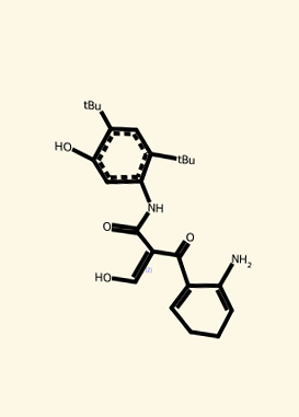 CC(C)(C)c1cc(C(C)(C)C)c(NC(=O)/C(=C\O)C(=O)C2=CCCC=C2N)cc1O